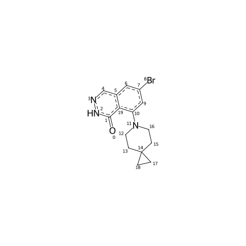 O=c1[nH]ncc2cc(Br)cc(N3CCC4(CC3)CC4)c12